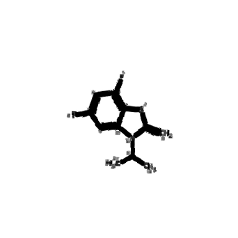 C=C1Sc2c(F)cc(F)cc2N1C(C)C